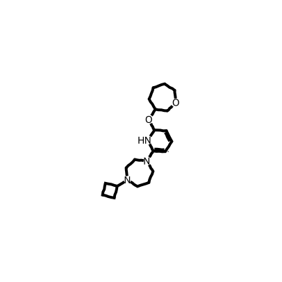 [C]1=C(N2CCCN(C3CCC3)CC2)NC(OC2CCCCOC2)C=C1